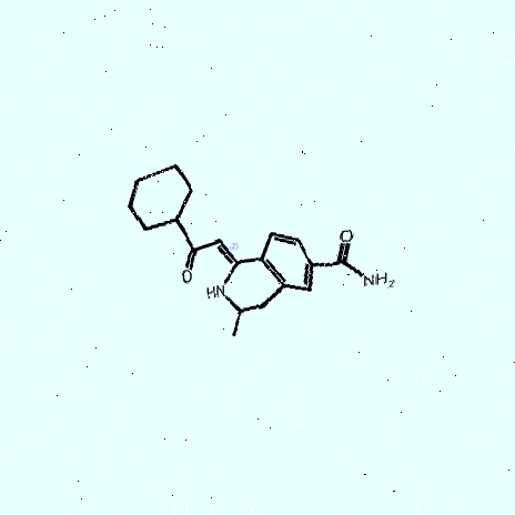 CC1Cc2cc(C(N)=O)ccc2/C(=C/C(=O)C2CCCCC2)N1